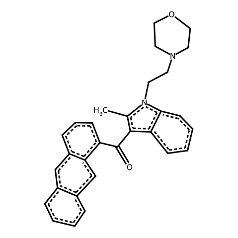 Cc1c(C(=O)c2cccc3cc4ccccc4cc23)c2ccccc2n1CCN1CCOCC1